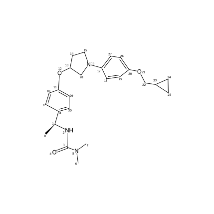 C[C@H](NC(=O)N(C)C)c1ccc(OC2CCN(c3ccc(OCC4CC4)cc3)C2)cc1